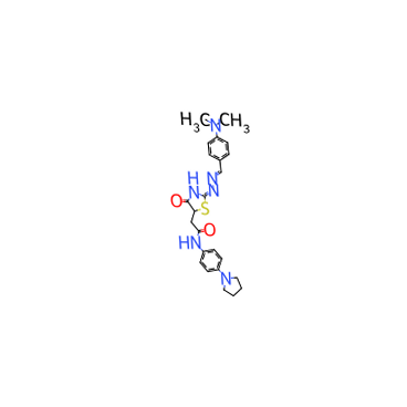 CN(C)c1ccc(/C=N/N=C2\NC(=O)C(CC(=O)Nc3ccc(N4CCCC4)cc3)S2)cc1